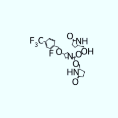 O=C1CC[C@H](CO)N1.O=C1CC[C@H](COC(=O)N2CC(OCc3ccc(C(F)(F)F)cc3F)C2)N1